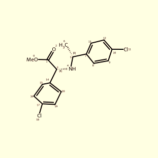 COC(=O)[C@H](N[C@H](C)c1ccc(Cl)cc1)c1ccc(Cl)cc1